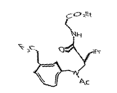 CCOC(=O)CNC(=O)C(C(C)C)N(C(C)=O)c1cccc(C(F)(F)F)c1